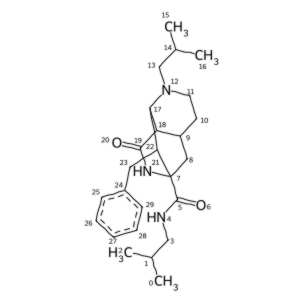 CC(C)CNC(=O)C12CC3CCN(CC(C)C)C(C3C(=O)N1)C2Cc1ccccc1